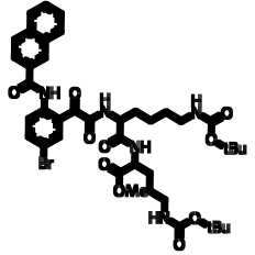 COC(=O)C(CCCNC(=O)OC(C)(C)C)NC(=O)C(CCCCNC(=O)OC(C)(C)C)NC(=O)C(=O)c1cc(Br)ccc1NC(=O)c1ccc2ccccc2c1